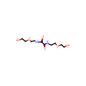 O=C(NCCOCCO)C(=O)NCCOCCO